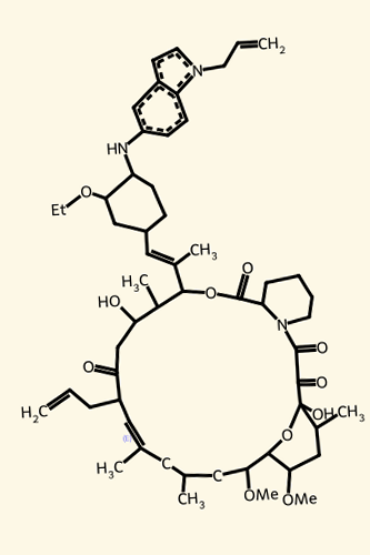 C=CCC1/C=C(\C)CC(C)CC(OC)C2OC(O)(C(=O)C(=O)N3CCCCC3C(=O)OC(C(C)=CC3CCC(Nc4ccc5c(ccn5CC=C)c4)C(OCC)C3)C(C)C(O)CC1=O)C(C)CC2OC